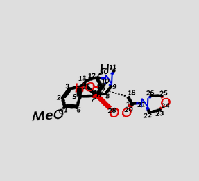 COc1ccc2c(c1)[C@]13CCN(C)[C@H](C2)[C@]1(O)C[C@H](CC(=O)N1CCOCC1)C(=O)C3